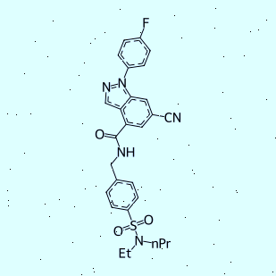 CCCN(CC)S(=O)(=O)c1ccc(CNC(=O)c2cc(C#N)cc3c2cnn3-c2ccc(F)cc2)cc1